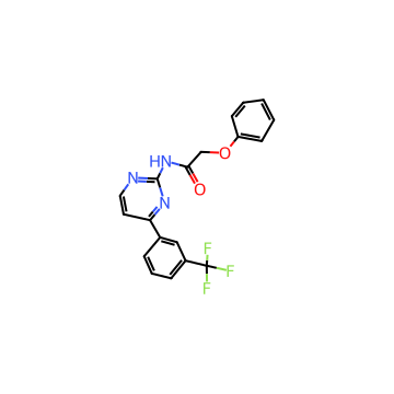 O=C(COc1ccccc1)Nc1nccc(-c2cccc(C(F)(F)F)c2)n1